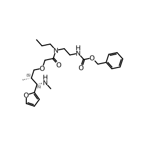 CCCN(CCNC(=O)OCc1ccccc1)C(=O)COC[C@@H](C)[C@H](NC)c1ccco1